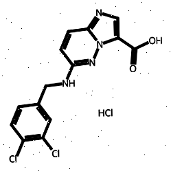 Cl.O=C(O)c1cnc2ccc(NCc3ccc(Cl)c(Cl)c3)nn12